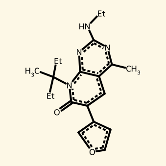 CCNc1nc(C)c2cc(-c3ccoc3)c(=O)n(C(C)(CC)CC)c2n1